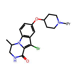 CC(C)N1CCC(Oc2ccc3c(c2)c(Br)c2n3C(C)CNC2=O)CC1